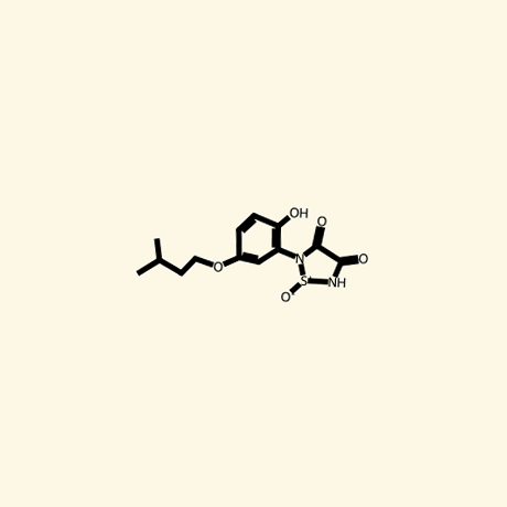 CC(C)CCOc1ccc(O)c(-n2c(=O)c(=O)[nH][s+]2[O-])c1